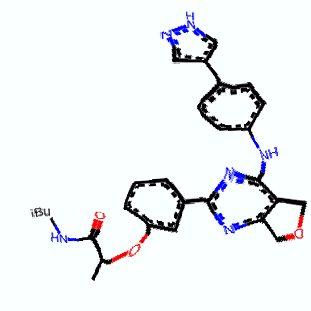 CCC(C)NC(=O)C(C)Oc1cccc(-c2nc3c(c(Nc4ccc(-c5cn[nH]c5)cc4)n2)COC3)c1